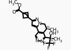 COC(=O)C12CC(c3cc4n(n3)C[C@@H](C)c3c-4cnnc3[C@](C)(O)C(F)(F)F)(C1)C2